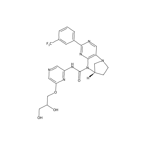 O=C(Nc1cncc(OCC(O)CO)n1)N1c2nc(-c3cccc(C(F)(F)F)c3)ncc2N2CC[C@H]1C2